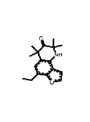 CCc1cc2c(c3ccoc13)NC(C)(C)C(=O)C2(C)C